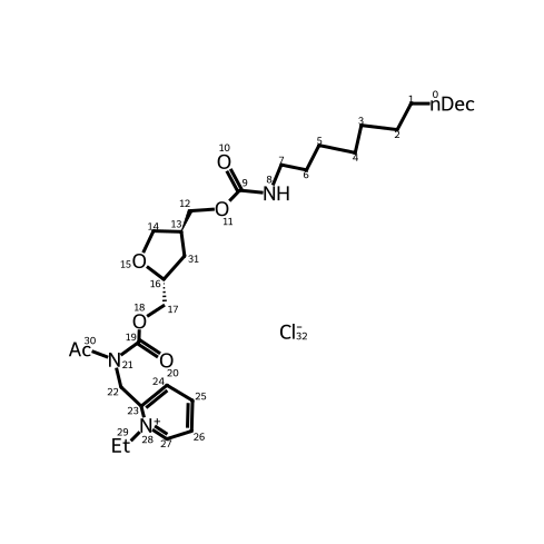 CCCCCCCCCCCCCCCCCNC(=O)OC[C@@H]1CO[C@@H](COC(=O)N(Cc2cccc[n+]2CC)C(C)=O)C1.[Cl-]